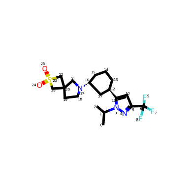 CC(C)n1nc(C(F)(F)F)cc1[C@@H]1CCC[C@@H](N2CCC3(C2)CS(=O)(=O)C3)C1